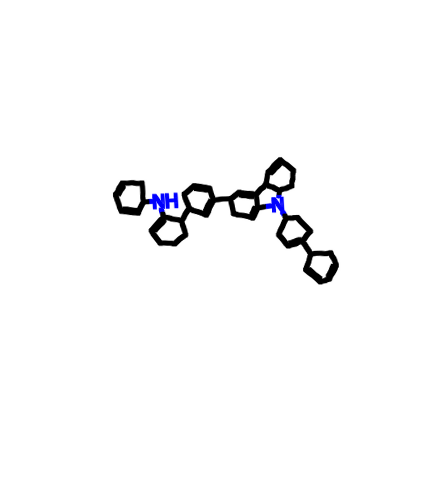 C1=CCC(NC2=CCCCC2C2C=C(C3C=C4C(=CC3)N(C3CC=C(C5C=CC=CC5)CC3)C3CCC=CC43)C=CC2)C=C1